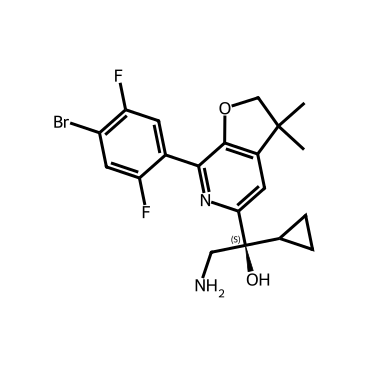 CC1(C)COc2c1cc([C@@](O)(CN)C1CC1)nc2-c1cc(F)c(Br)cc1F